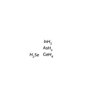 [AsH3].[GeH4].[InH3].[SeH2]